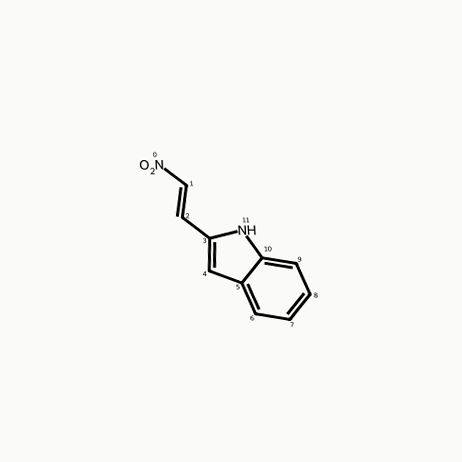 O=[N+]([O-])C=Cc1cc2ccccc2[nH]1